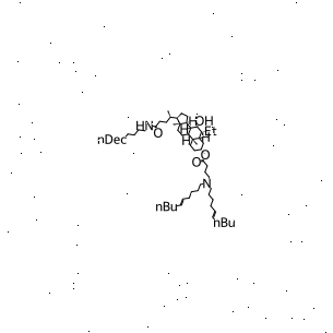 CCCC/C=C/CCCCN(CCCC/C=C/CCCC)CCCC(=O)O[C@@H]1CC[C@@]2(C)[C@@H](C1)[C@@H](CC)[C@@H](O)[C@@H]1[C@@H]2CC[C@]2(C)[C@@H]([C@H](C)CCC(=O)NCCCCCCCCCCCCCC)CC[C@@H]12